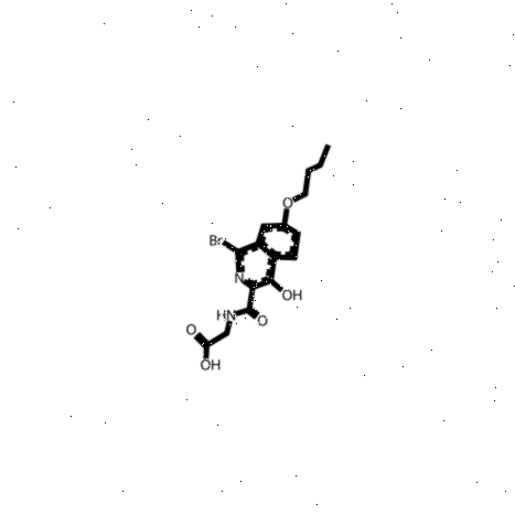 CCCCOc1ccc2c(O)c(C(=O)NCC(=O)O)nc(Br)c2c1